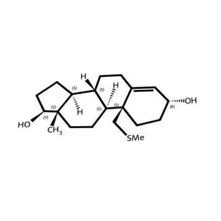 CSC[C@]12CC[C@@H](O)C=C1CC[C@@H]1[C@@H]2CC[C@]2(C)[C@@H](O)CC[C@@H]12